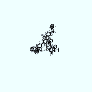 CCN(c1cc(-c2ccc(C3(C=O)CCOCC3)c(NC)c2)cc(C(=O)NCc2c(OC)cc(C)[nH]c2=O)c1C)C1CCC(N(C)C2COC2)CC1